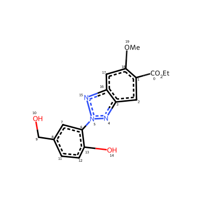 CCOC(=O)c1cc2nn(-c3cc(CO)ccc3O)nc2cc1OC